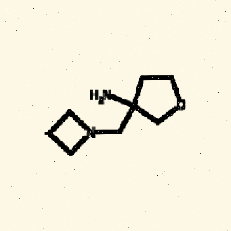 NC1(CN2C[CH]C2)CCOC1